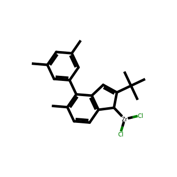 Cc1cc(C)cc(-c2c(C)ccc3c2C=C(C(C)(C)C)[CH]3[Zr]([Cl])[Cl])c1